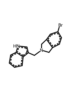 Brc1ccc2c(c1)CN(Cc1c[nH]c3ccccc13)C2